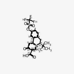 CC(C)(C)[C@@H]1Cc2ccc(OS(=O)(=O)C(F)(F)F)cc2-c2cc(=O)c(C(=O)O)cn21